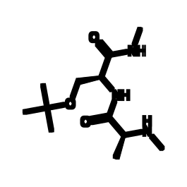 CNC(=O)[C@H](COC(C)(C)C)NC(=O)[C@H](C)NC